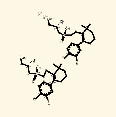 CC1(C)CCCC(c2ccc(Cl)c(Cl)c2)=C1CCP(=O)(O)C[C@@H](O)CC(=O)[O-].CC1(C)CCCC(c2ccc(Cl)c(Cl)c2)=C1CCP(=O)(O)C[C@@H](O)CC(=O)[O-].[Li+].[Li+]